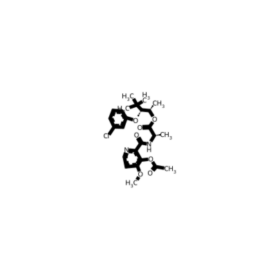 COc1ccnc(C(=O)N[C@@H](C)C(=O)O[C@@H](C)[C@H](Oc2cccc(Cl)c2)C(C)(C)C)c1OC(C)=O